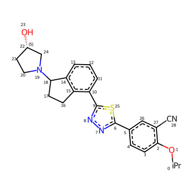 CC(C)Oc1ccc(-c2nnc(-c3cccc4c3CCC4N3CC[C@H](O)C3)s2)cc1C#N